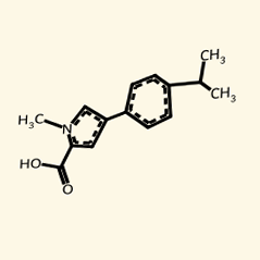 CC(C)c1ccc(-c2cc(C(=O)O)n(C)c2)cc1